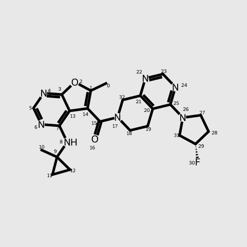 Cc1oc2ncnc(NC3(C)CC3)c2c1C(=O)N1CCc2c(ncnc2N2CC[C@H](F)C2)C1